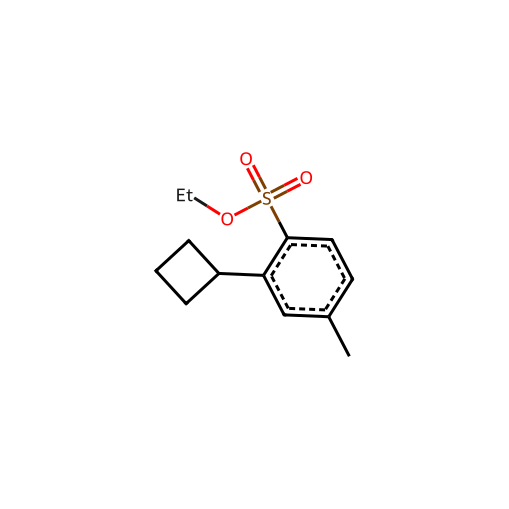 CCOS(=O)(=O)c1ccc(C)cc1C1CCC1